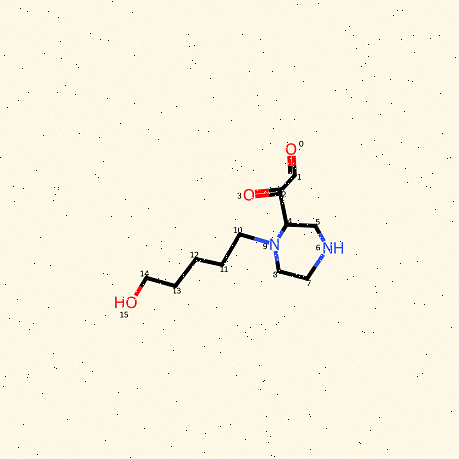 O=CC(=O)C1CNCCN1CCCCCO